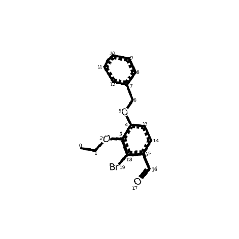 CCOc1c(OCc2ccccc2)ccc(C=O)c1Br